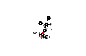 CCN(c1cc(-c2ccc(N(C)C(=O)c3cc(C(C)C)c(OCc4ccccc4)cc3OCc3ccccc3)cc2)cc(C(=O)OC)c1C)C1CCOCC1